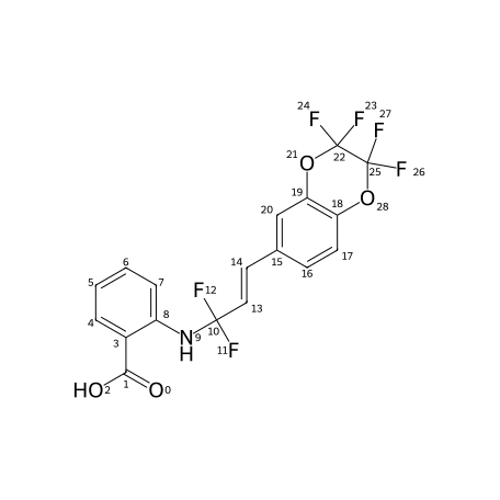 O=C(O)c1ccccc1NC(F)(F)/C=C/c1ccc2c(c1)OC(F)(F)C(F)(F)O2